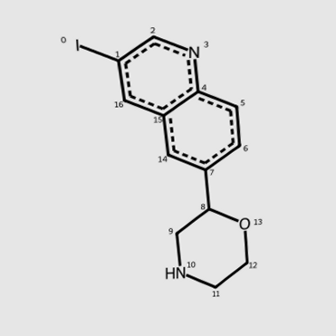 Ic1cnc2ccc(C3CNCCO3)cc2c1